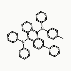 Cc1ccc(N(c2ccccc2)c2c3ccccc3c(N(c3ccccc3)c3ccccc3)c3ccc(-c4ccccc4)cc23)cc1